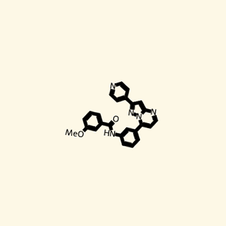 COc1cccc(C(=O)Nc2cccc(-c3ccnc4cc(-c5ccncc5)nn34)c2)c1